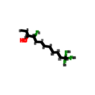 CCC(O)C(F)CCCCCCCC(F)(F)F